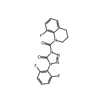 O=C(N1CCCc2cccc(F)c21)n1nnn(-c2c(F)cccc2F)c1=O